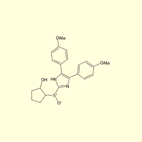 COc1ccc(-c2nc([S+]([O-])C3CCCC3O)[nH]c2-c2ccc(OC)cc2)cc1